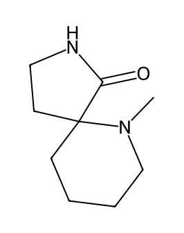 CN1CCCCC12CCNC2=O